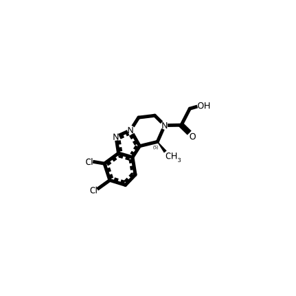 C[C@H]1c2c3ccc(Cl)c(Cl)c3nn2CCN1C(=O)CO